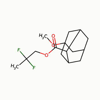 COC12CC3CC(C1)C(C(=O)OCC(C)(F)F)C(C3)C2